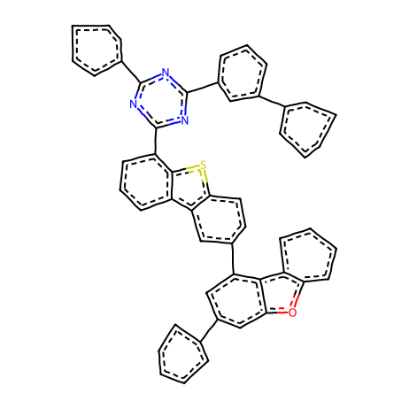 c1ccc(-c2cccc(-c3nc(-c4ccccc4)nc(-c4cccc5c4sc4ccc(-c6cc(-c7ccccc7)cc7oc8ccccc8c67)cc45)n3)c2)cc1